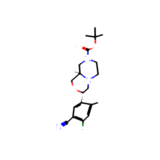 Cc1cc(F)c(C#N)cc1[C@@H]1CN2CCN(C(=O)OC(C)(C)C)C[C@H]2CO1